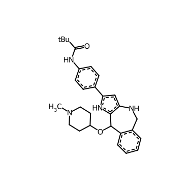 CN1CCC(OC2c3ccccc3CNc3cc(-c4ccc(NC(=O)C(C)(C)C)cc4)[nH]c32)CC1